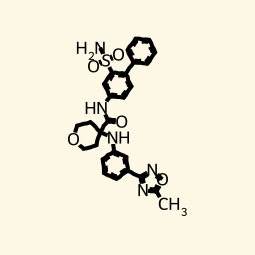 Cc1nc(-c2cccc(NC3(C(=O)Nc4ccc(-c5ccccc5)c(S(N)(=O)=O)c4)CCOCC3)c2)no1